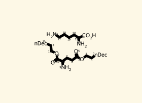 CCCCCCCCCCCCOC(=O)CCC(N)C(=O)OCCCCCCCCCCCC.NCCCCC(N)C(=O)O